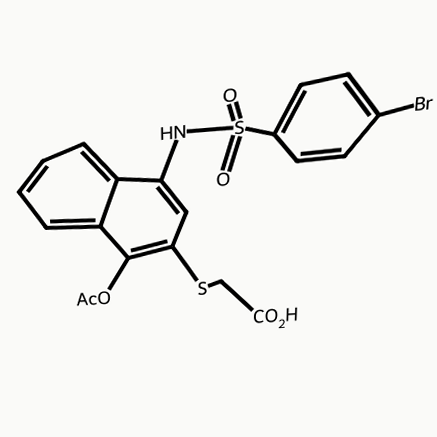 CC(=O)Oc1c(SCC(=O)O)cc(NS(=O)(=O)c2ccc(Br)cc2)c2ccccc12